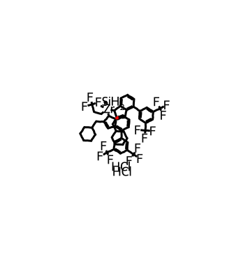 Cl.Cl.[CH3][Zr](=[SiH2])([CH2]CC(F)(F)F)([CH]1C(CC2CCCCC2)=Cc2c(-c3cc(C(F)(F)F)cc(C(F)(F)F)c3)cccc21)[CH]1C(CC2CCCCC2)=Cc2c(-c3cc(C(F)(F)F)cc(C(F)(F)F)c3)cccc21